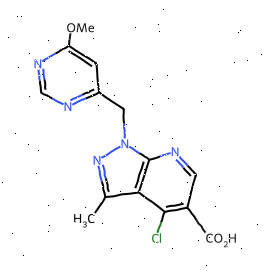 COc1cc(Cn2nc(C)c3c(Cl)c(C(=O)O)cnc32)ncn1